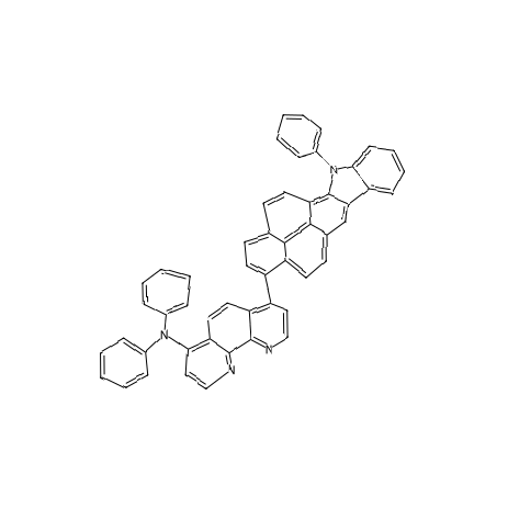 c1ccc(N(c2ccccc2)c2ccnc3c2ccc2c(-c4ccc5ccc6c7c(ccc4c57)cc4c5ccccc5n(-c5ccccc5)c46)ccnc23)cc1